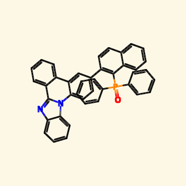 O=P(c1ccccc1)(c1ccccc1)c1c(-c2ccc3c(c2)c2ccccc2c2nc4ccccc4n32)ccc2ccccc12